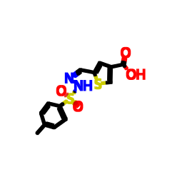 Cc1ccc(S(=O)(=O)N/N=C\c2cc(C(=O)O)cs2)cc1